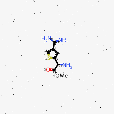 COC(=O)C(N)c1cc(C(=N)N)cs1